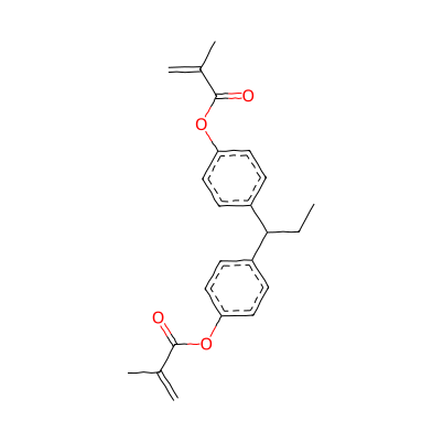 C=C(C)C(=O)Oc1ccc(C(CC)c2ccc(OC(=O)C(=C)C)cc2)cc1